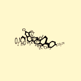 CCOC(=O)C1CC=C(C2=CC[C@]3(C)[C@H]4CC[C@@H]5C6=C(C(C)C)C(=O)C[C@]6(C(O)C[N+](=O)[O-])CC[C@@]5(C)[C@]4(C)CC[C@H]3C2(C)C)CC1